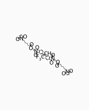 CC(c1ccc2c(c1)C(=O)N(CCOC(=O)CCCCCN1C(=O)C=CC1=O)C2=O)(c1ccc2c(c1)C(=O)N(CCOC(=O)CCCCCN1C(=O)C=CC1=O)C2=O)C(F)(F)F